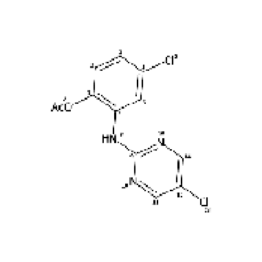 CC(=O)Oc1ccc(Cl)cc1Nc1ncc(Cl)cn1